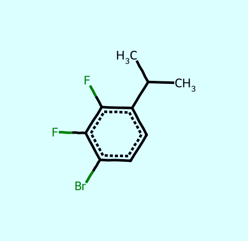 CC(C)c1ccc(Br)c(F)c1F